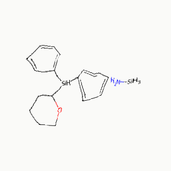 N[SiH3].c1ccc([SiH](c2ccccc2)C2CCCCO2)cc1